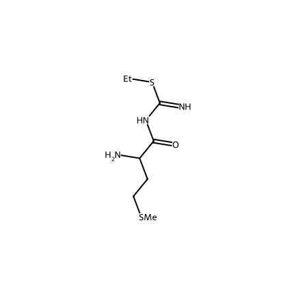 CCSC(=N)NC(=O)C(N)CCSC